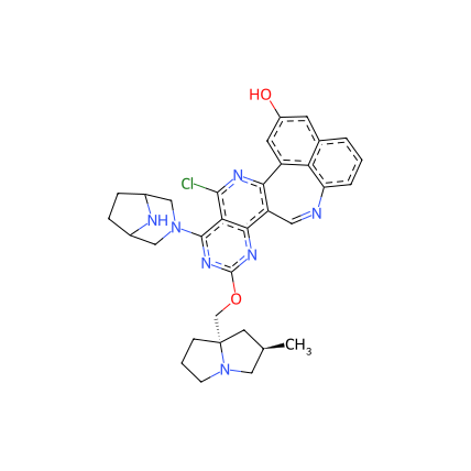 C[C@H]1CN2CCC[C@@]2(COc2nc(N3CC4CCC(C3)N4)c3c(Cl)nc4c(c3n2)C=Nc2cccc3cc(O)cc-4c23)C1